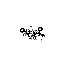 COC1(NC(=O)C(OC=O)c2ccccc2)C(=O)N2C(C(=O)O)=C(C(=O)Cc3ccccc3)CS[C@H]21